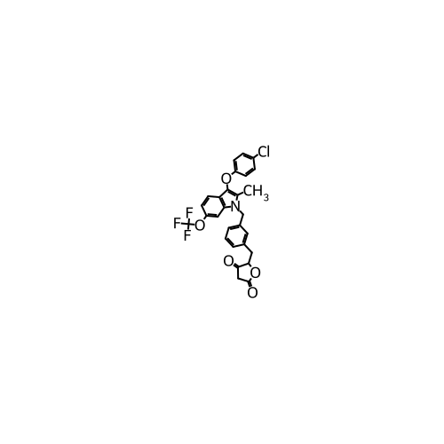 Cc1c(Oc2ccc(Cl)cc2)c2ccc(OC(F)(F)F)cc2n1Cc1cccc(CC2OC(=O)CC2=O)c1